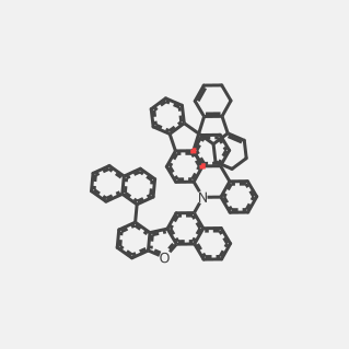 C1=CC2=C(CC1)C1=CCCCC1C21c2ccccc2-c2ccc(N(c3ccccc3-c3ccccc3)c3cc4c(oc5cccc(-c6cccc7ccccc67)c54)c4ccccc34)cc21